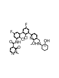 COc1nc(-c2cc(F)cc(-c3cc(F)cc(NC(=O)c4ccnn(C)c4=O)c3Cl)c2Cl)ccc1CNC1CCCC[C@@H]1O